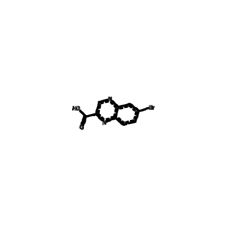 O=C(O)c1cnc2cc(Br)ccc2n1